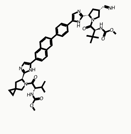 COC(=O)N[C@H](C(=O)N1CC2(CC2)C[C@H]1c1ncc(-c2ccc3cc(-c4ccc(-c5cnc([C@@H]6C[C@H](C=N)CN6C(=O)[C@@H](NC(=O)OC)C(C)(C)C)[nH]5)cc4)ccc3c2)[nH]1)C(C)C